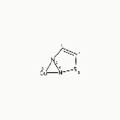 C1=C[N]2[Cu][N]2S1